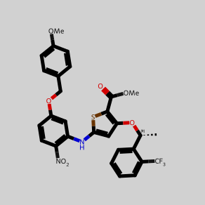 COC(=O)c1sc(Nc2cc(OCc3ccc(OC)cc3)ccc2[N+](=O)[O-])cc1O[C@H](C)c1ccccc1C(F)(F)F